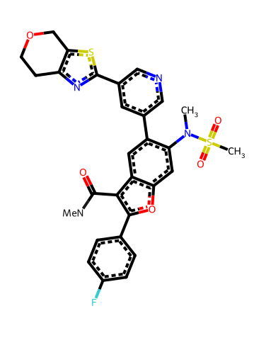 CNC(=O)c1c(-c2ccc(F)cc2)oc2cc(N(C)S(C)(=O)=O)c(-c3cncc(-c4nc5c(s4)COCC5)c3)cc12